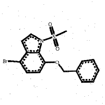 CS(=O)(=O)n1ccc2c(Br)ccc(OCc3ccccc3)c21